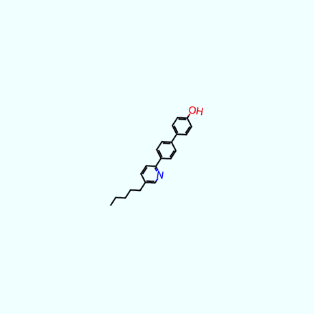 CCCCCc1ccc(-c2ccc(-c3ccc(O)cc3)cc2)nc1